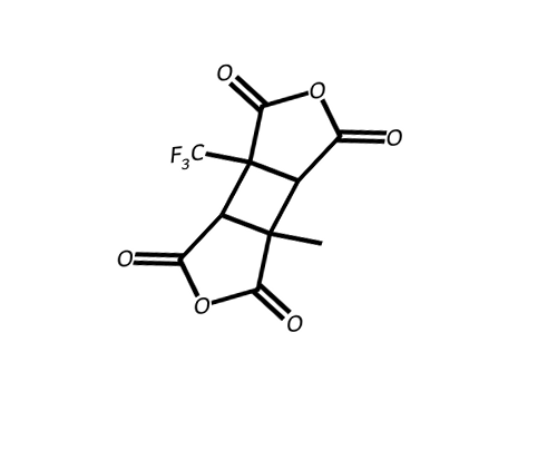 CC12C(=O)OC(=O)C1C1(C(F)(F)F)C(=O)OC(=O)C21